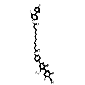 N#Cc1c(F)cc(-c2c(F)cc(-c3ccc(OC(=O)CCCCCCCCCC(=O)Oc4ccc(-c5ccc(F)cc5)c(F)c4)cc3)cc2P)cc1F